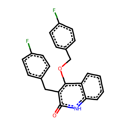 O=c1[nH]c2ccccc2c(OCc2ccc(F)cc2)c1Cc1ccc(F)cc1